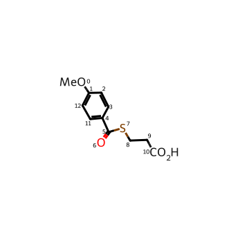 COc1ccc(C(=O)SCCC(=O)O)cc1